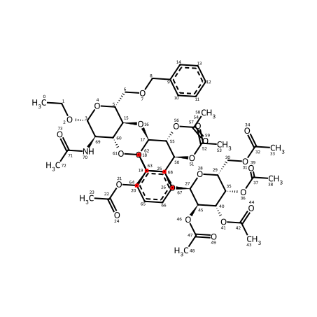 CCO[C@@H]1O[C@H](COCc2ccccc2)[C@@H](O[C@@H]2O[C@H](COC(C)=O)[C@H](O[C@H]3O[C@H](COC(C)=O)[C@H](OC(C)=O)[C@H](OC(C)=O)[C@H]3OC(C)=O)[C@H](OC(C)=O)[C@H]2OC(C)=O)[C@H](OCc2ccccc2)[C@H]1NC(C)=O